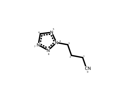 N#CCCCn1ncnn1